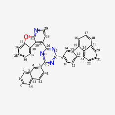 c1ccc2cc(-c3nc(-c4ccc5c(c4)-c4cccc6cccc-5c46)nc(-c4ccnc5oc6ccccc6c45)n3)ccc2c1